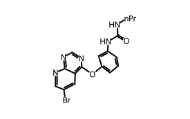 CCCNC(=O)Nc1cccc(Oc2ncnc3ncc(Br)cc23)c1